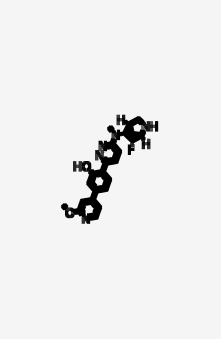 COc1cc(-c2ccc(-c3ccc(N(C)[C@H]4[C@@H]5CN[C@@H](C5)[C@@H]4F)nn3)c(O)c2)ccn1